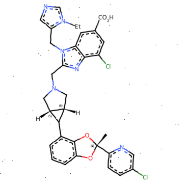 CCn1cncc1Cn1c(CN2C[C@@H]3C(c4cccc5c4O[C@](C)(c4ccc(Cl)cn4)O5)[C@@H]3C2)nc2c(Cl)cc(C(=O)O)cc21